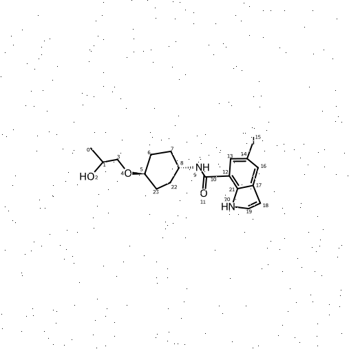 CC(O)CO[C@H]1CC[C@H](NC(=O)c2cc(I)cc3cc[nH]c23)CC1